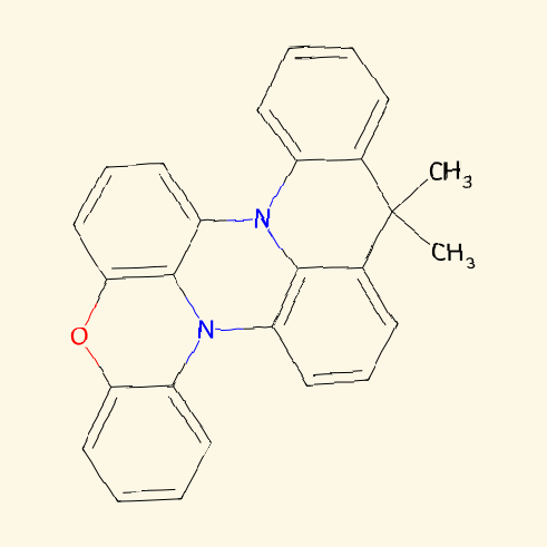 CC1(C)c2ccccc2N2c3cccc4c3N(c3ccccc3O4)c3cccc1c32